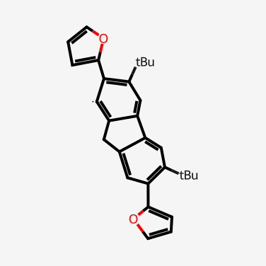 CC(C)(C)c1cc2c([c]c1-c1ccco1)Cc1cc(-c3ccco3)c(C(C)(C)C)cc1-2